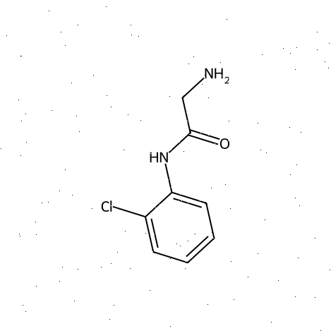 NCC(=O)Nc1ccccc1Cl